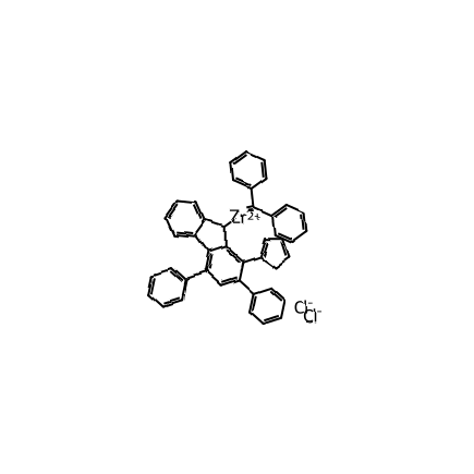 C1=CCC(c2c(-c3ccccc3)cc(-c3ccccc3)c3c2[CH]([Zr+2]=[C](c2ccccc2)c2ccccc2)c2ccccc2-3)=C1.[Cl-].[Cl-]